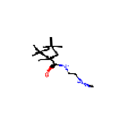 CNCCNC(=O)C(C)(CC(C)(C)C)C(C)(C)C